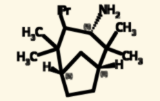 CC(C)C1[C@H](N)C(C)(C)[C@@H]2CC[C@@H](C2)C1(C)C